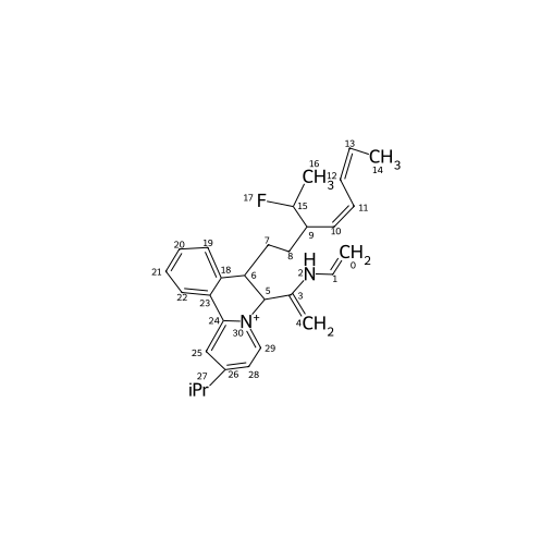 C=CNC(=C)C1C(CCC(/C=C\C=C/C)C(C)F)c2ccccc2-c2cc(C(C)C)cc[n+]21